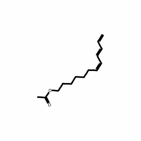 C=C/C=C/C=C\CCCCCCOC(C)=O